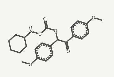 COc1ccc(C(=O)C(OC(=O)ONC2CCCCC2)c2ccc(OC)cc2)cc1